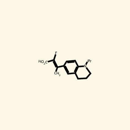 C/C(=C(/F)C(=O)O)c1ccc2c(c1)CCCN2C(C)C